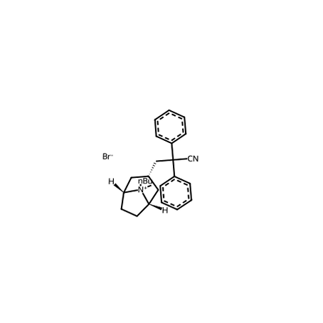 CCCC[N+]1(C)[C@@H]2CC[C@H]1C[C@@H](CC(C#N)(c1ccccc1)c1ccccc1)C2.[Br-]